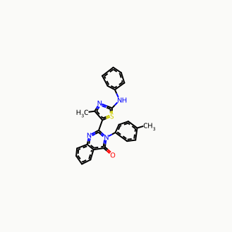 Cc1ccc(-n2c(-c3sc(Nc4ccccc4)nc3C)nc3ccccc3c2=O)cc1